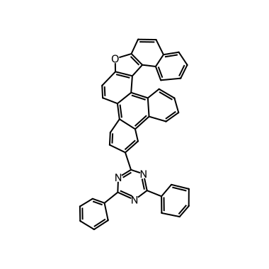 c1ccc(-c2nc(-c3ccccc3)nc(-c3ccc4c(c3)c3ccccc3c3c4ccc4oc5ccc6ccccc6c5c43)n2)cc1